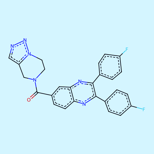 O=C(c1ccc2nc(-c3ccc(F)cc3)c(-c3ccc(F)cc3)nc2c1)N1CCn2nncc2C1